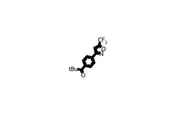 CC(C)(C)C(=O)c1ccc(-c2cc(C(F)(F)F)on2)cc1